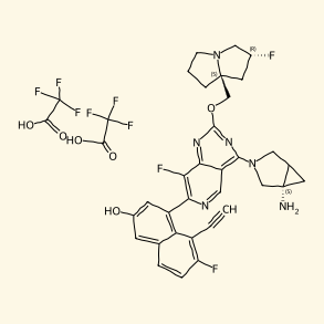 C#Cc1c(F)ccc2cc(O)cc(-c3ncc4c(N5CC6C[C@@]6(N)C5)nc(OC[C@@]56CCCN5C[C@H](F)C6)nc4c3F)c12.O=C(O)C(F)(F)F.O=C(O)C(F)(F)F